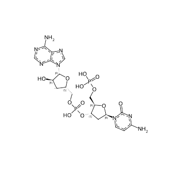 Nc1ccn([C@H]2C[C@H](OP(=O)(O)OC[C@@H]3[CH][C@@H](O)[C@H](n4cnc5c(N)ncnc54)O3)[C@@H](COP(=O)(O)O)O2)c(=O)n1